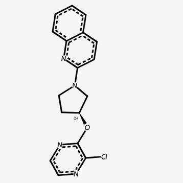 Clc1nccnc1O[C@H]1CCN(c2ccc3ccccc3n2)C1